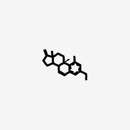 C=C1CCC2C3C=Cc4cc(CC)cc(C)c4[C@@]3(C)CCC12C